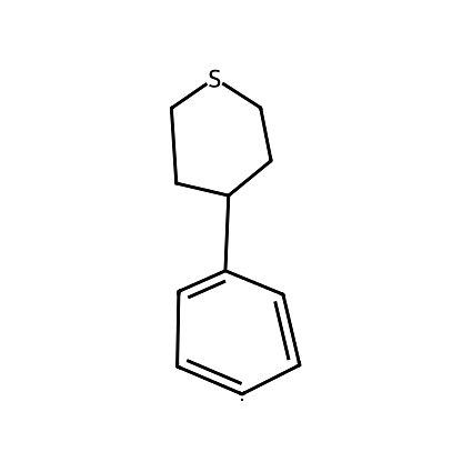 [c]1ccc(C2CCSCC2)cc1